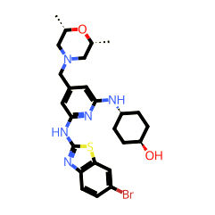 C[C@@H]1CN(Cc2cc(Nc3nc4ccc(Br)cc4s3)nc(N[C@H]3CC[C@H](O)CC3)c2)C[C@H](C)O1